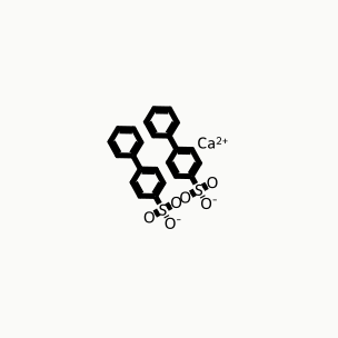 O=S(=O)([O-])c1ccc(-c2ccccc2)cc1.O=S(=O)([O-])c1ccc(-c2ccccc2)cc1.[Ca+2]